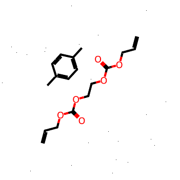 C=CCOC(=O)OCCOC(=O)OCC=C.Cc1ccc(C)cc1